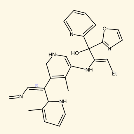 C=N/C=C(/C1=C(C)C(NC(=CCC)C(O)(c2ccccn2)c2ncco2)=CNC1)C1NC=CC=C1C